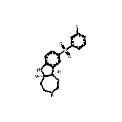 O=S(=O)(c1cccc(F)c1)c1ccc2c(c1)[C@H]1CCNCC[C@H]1N2